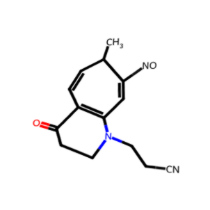 CC1C=CC2=C(C=C1N=O)N(CCC#N)CCC2=O